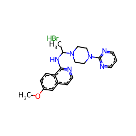 Br.COc1ccc2c(NC(C)N3CCN(c4ncccn4)CC3)nccc2c1